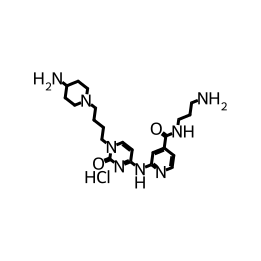 Cl.NCCCNC(=O)c1ccnc(Nc2ccn(CCCCN3CCC(N)CC3)c(=O)n2)c1